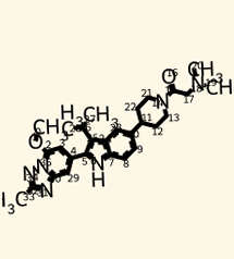 COc1cc(-c2[nH]c3ccc(C4CCN(C(=O)CN(C)C)CC4)cc3c2C(C)C)cc2nc(C)nn12